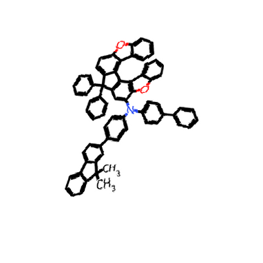 CC1(C)c2ccccc2-c2ccc(-c3ccc(N(c4ccc(-c5ccccc5)cc4)c4cc5c(c6c4oc4ccccc46)-c4c(ccc6oc7ccccc7c46)C5(c4ccccc4)c4ccccc4)cc3)cc21